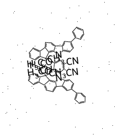 CC1(C)Oc2c(c(-n3c4ccc(-c5ccccc5)cc4c4ccc5c(c43)C(C)(C)c3ccccc3-5)c(C#N)c(C#N)c2-n2c3ccc(-c4ccccc4)cc3c3ccc4c(c32)C(C)(C)c2ccccc2-4)O1